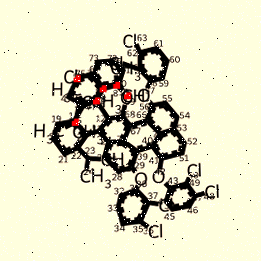 CC(C)c1cccc(C(C)C)c1-c1c(-c2c(C(C)C)cccc2C(C)C)c2ccc(Oc3cccc(Cl)c3Cl)c3c4c(Oc5cccc(Cl)c5Cl)ccc5ccc(Oc6cccc(Cl)c6Cl)c(c(c1Oc1cccc(Cl)c1Cl)c23)c54